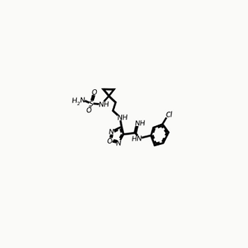 N=C(Nc1cccc(Cl)c1)c1nonc1NCCC1(NS(N)(=O)=O)CC1